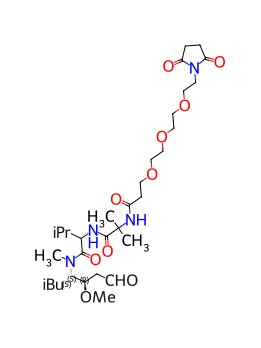 CC[C@H](C)[C@@H]([C@@H](CC=O)OC)N(C)C(=O)C(NC(=O)C(C)(C)NC(=O)CCOCCOCCOCCN1C(=O)CCC1=O)C(C)C